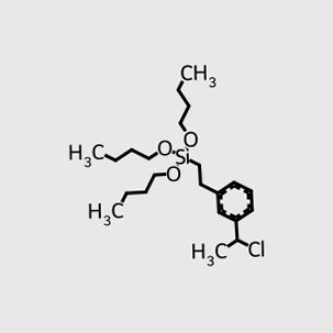 CCCCO[Si](CCc1cccc(C(C)Cl)c1)(OCCCC)OCCCC